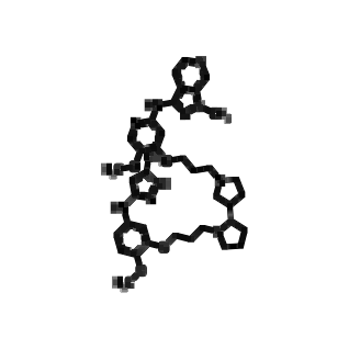 COc1cnc(Nc2nn(C)c3cnccc23)cc1OCCCN1CCC(C2CCCN2CCCOc2cc(Nc3cc(C)[nH]n3)ccc2OC)C1